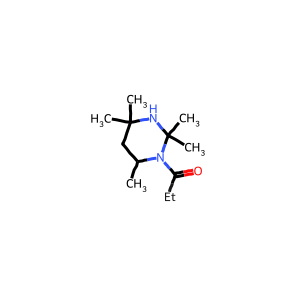 CCC(=O)N1C(C)CC(C)(C)NC1(C)C